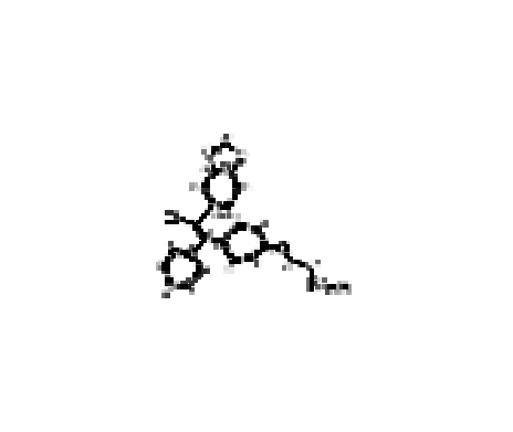 CCC(=C(c1ccccc1)c1ccc(OCCNC(C)C)cc1)c1ccc2c(c1)OCO2